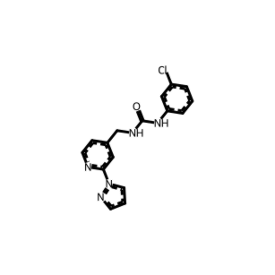 O=C(NCc1ccnc(-n2cccn2)c1)Nc1cccc(Cl)c1